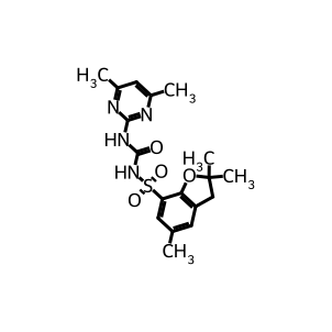 Cc1cc2c(c(S(=O)(=O)NC(=O)Nc3nc(C)cc(C)n3)c1)OC(C)(C)C2